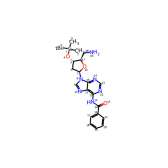 CC(C)(C)[Si](C)(C)O[C@H]1C[C@H](n2cnc3c(NC(=O)c4ccccc4)ncnc32)O[C@@H]1CN